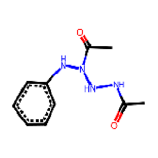 CC(=O)NNN(Nc1ccccc1)C(C)=O